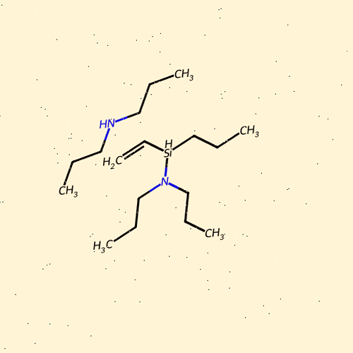 C=C[SiH](CCC)N(CCC)CCC.CCCNCCC